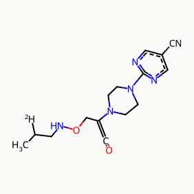 [2H]C(C)CNOCC(=C=O)N1CCN(c2ncc(C#N)cn2)CC1